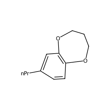 CCCc1ccc2c(c1)OCCCO2